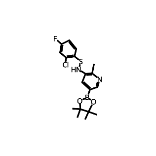 Cc1ncc(B2OC(C)(C)C(C)(C)O2)cc1NSc1ccc(F)cc1Cl